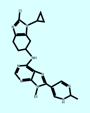 CCn1c(C2=CNC(C)N=C2)nc2c(NC3CCc4nc(Cl)n(C5CC5)c4C3)ncnc21